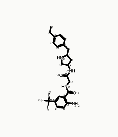 CCc1ccc(CC2CC(NC(=O)CNC(=O)c3cc(C(F)(F)F)ccc3N)CN2)cc1